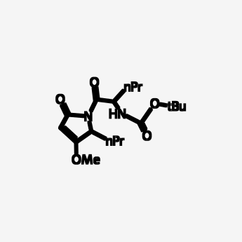 CCCC(NC(=O)OC(C)(C)C)C(=O)N1C(=O)C=C(OC)C1CCC